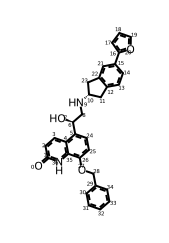 O=c1ccc2c([C@@H](O)CN[C@H]3Cc4ccc(-c5ccco5)cc4C3)ccc(OCc3ccccc3)c2[nH]1